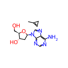 CC1=CC1.Nc1ncnc2c1ncn2[C@H]1C[C@H](O)[C@@H](CO)O1